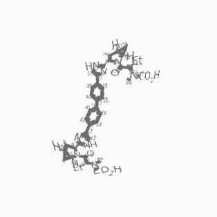 CC[C@@H](C(=O)N1[C@@H]2C[C@@H]2C[C@H]1c1nc(-c2ccc(-c3ccc(-c4c[nH]c([C@@H]5C[C@H]6C[C@H]6N5C(=O)[C@H](CC)N(C)C(=O)O)n4)cc3)cc2)c[nH]1)N(C)C(=O)O